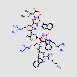 CC[C@H](C)[C@H](NC(=O)[C@H](Cc1c[nH]c2ccccc12)NC(=O)[C@H](CCCN=C(N)N)NC(=O)[C@@H](NC(=O)[C@H](Cc1c[nH]c2ccccc12)NC(=O)[C@H](CCCN=C(N)N)NC(=O)[C@H](CCCN=C(N)N)NC(=O)[C@H](Cc1c[nH]c2ccccc12)NC(=O)[C@@H](N)CCCCN)C(C)C)C(=O)O